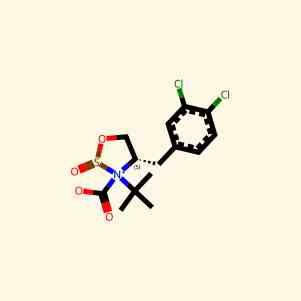 CC(C)(C)[N+]1(C(=O)[O-])[C@@H](Cc2ccc(Cl)c(Cl)c2)COS1=O